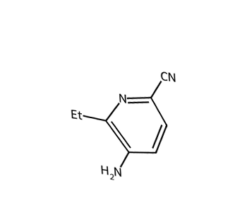 CCc1nc(C#N)ccc1N